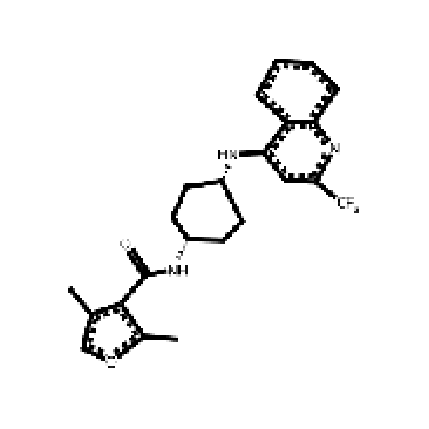 Cc1coc(C)c1C(=O)N[C@H]1CC[C@@H](Nc2cc(C(F)(F)F)nc3ccccc23)CC1